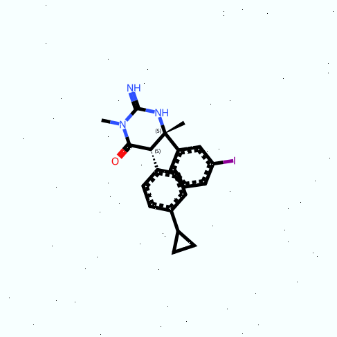 CN1C(=N)N[C@](C)(c2cccc(I)c2)[C@H](c2ccc(C3CC3)cc2)C1=O